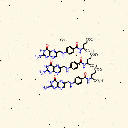 Nc1nc2ncc(CNc3ccc(C(=O)NC(CCC(=O)[O-])C(=O)O)cc3)nc2c(=O)[nH]1.Nc1nc2ncc(CNc3ccc(C(=O)NC(CCC(=O)[O-])C(=O)O)cc3)nc2c(=O)[nH]1.Nc1nc2ncc(CNc3ccc(C(=O)NC(CCC(=O)[O-])C(=O)O)cc3)nc2c(=O)[nH]1.[Cr+3]